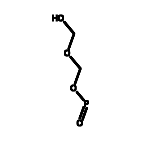 O=POCOCO